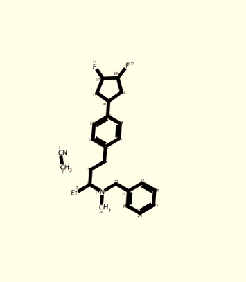 CC#N.CCC(CCc1ccc(C2CC(F)C(F)C2)cc1)N(C)Cc1ccccc1